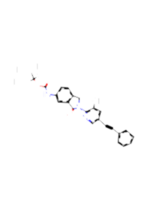 Cc1cc(C#Cc2ccccc2)cnc1N1Cc2ccc(NC(=O)OC(C)(C)C)cc2C1=O